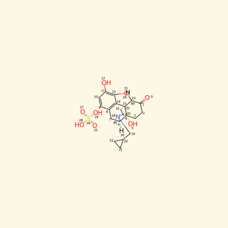 O=C1CC[C@@]2(O)[C@H]3Cc4ccc(O)c5c4[C@@]2(CCN3CC2CC2)[C@H]1O5.O=S(=O)(O)O